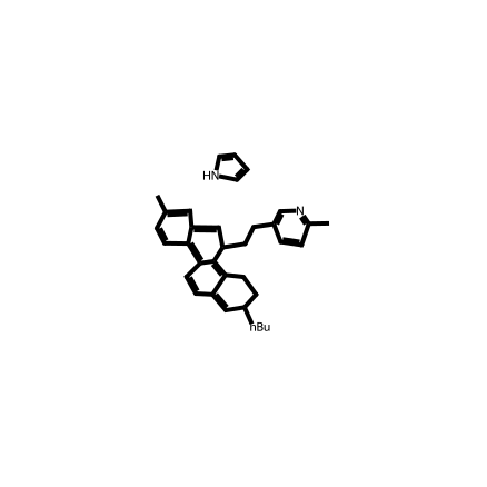 CCCCC1C=c2ccc3c(c2CC1)C(CCc1ccc(C)nc1)C=c1cc(C)ccc1=3.c1cc[nH]c1